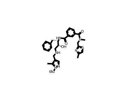 Cc1csc(CN(C)C(=O)c2cccc(C(=O)N[C@@H](Cc3ccccc3)[C@H](O)CNCc3cnn(C(C)(C)C)c3C)c2)n1